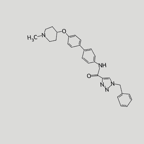 CN1CCC(Oc2ccc(-c3ccc(NC(=O)c4cn(Cc5ccccc5)nn4)cc3)cc2)CC1